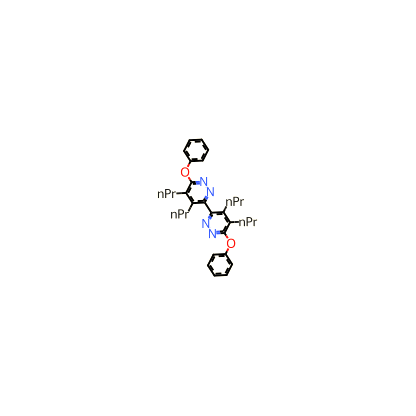 CCCc1c(Oc2ccccc2)nnc(-c2nnc(Oc3ccccc3)c(CCC)c2CCC)c1CCC